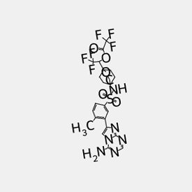 Cc1ccc(S(=O)(=O)NC23CCC(C(OC(=O)C(F)(F)F)C(F)(F)F)(CC2)OC3)cc1-c1cn2c(N)ncnc2n1